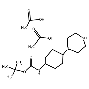 CC(=O)O.CC(=O)O.CC(C)(C)OC(=O)NC1CCC(N2CCNCC2)CC1